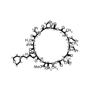 CO[C@H](C)C1NC(=O)C(C[C@H](C)CCN2CCOCC2)N(C)C(=O)C(C(C)C)N(C)C(=O)[C@@H](CC(C)C)NC(=O)[C@@H](CC(C)C)N(C)C(=O)OC(=O)[C@@H](C)N[C@@H](CC(C)C)N(C)[C@@H](CC(C)C)NC(=O)[C@H](CC(C)C)N(C)C(=O)CN(C)C1=O